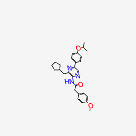 COc1ccc(CC(=O)Nc2ncc(-c3ccc(OC(C)C)cc3)nc2CC2CCCC2)cc1